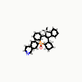 C[Si]1(C)C2=C(c3ccccc31)c1ccccc1P(=O)(c1ccc3ccncc3c1)c1ccccc12